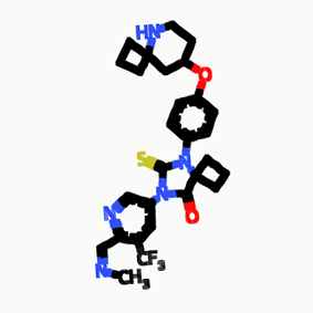 C/N=C\c1ncc(N2C(=O)C3(CCC3)N(c3ccc(OC4CCNC5(CCC5)C4)cc3)C2=S)cc1C(F)(F)F